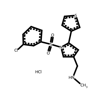 CNCc1cc(-c2ccsc2)n(S(=O)(=O)c2cccc(Cl)c2)c1.Cl